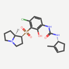 CC1=CCC[C@H]1NC(=O)Nc1ccc(Cl)c(S(=O)(=O)[C@H]2CCN3CCC[C@@H]23)c1O